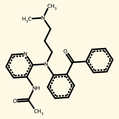 CC(=O)Nc1cccnc1N(CCCN(C)C)c1ccccc1C(=O)c1ccccc1